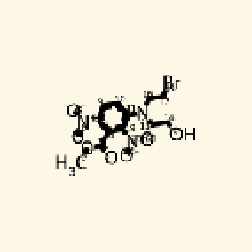 COC(=O)c1c([N+](=O)[O-])ccc(N(CCO)CCBr)c1[N+](=O)[O-]